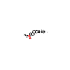 CCC(=O)OCC(=O)[C@@]1(OC(=O)CC)[C@@H](C)C[C@H]2[C@@H]3CCC4=Cc5cn(-c6ncc(Br)cn6)cc5C[C@]4(C)[C@@]3(Cl)[C@@H](O)C[C@@]21C